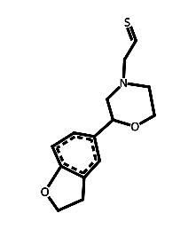 S=CCN1CCOC(c2ccc3c(c2)CCO3)C1